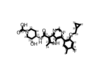 Cc1cc(-c2ncnc3c(C(=O)N[C@@H]4CCN(C(=O)O)C[C@H]4O)c(C)[nH]c23)c(OCC2CC2)cc1F